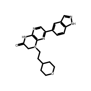 O=C1CN(CCC2CCOCC2)c2nc(-c3ccc4[nH]ncc4c3)cnc2N1